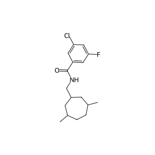 CC1CCC(C)CC(CNC(=O)c2cc(F)cc(Cl)c2)C1